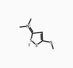 CSc1cc(=[N+](C)C)ss1.[I-]